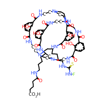 O=C(O)CCCC(=O)NCCCCC1CN2CCNC(=O)c3cccc(c3O)C(=O)NCCN(CCNC(=O)c3cccc(c3O)C(=O)N1)CCN1CCNC(=O)c3cccc(c3O)C(=O)NCCN(CC2)CC(CCCCNC(=S)NF)NC(=O)c2cccc(c2O)C(=O)NCC1